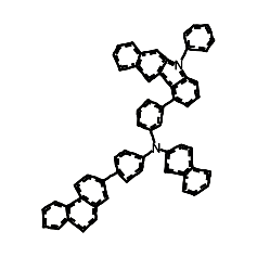 c1ccc(-n2c3cc4ccccc4cc3c3c(-c4cccc(N(c5ccc(-c6ccc7c(ccc8ccccc87)c6)cc5)c5ccc6ccccc6c5)c4)cccc32)cc1